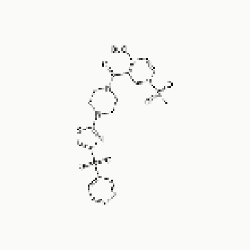 CC(C)COc1ccc(S(C)(=O)=O)cc1C(=O)N1CCN(c2nc(S(=O)(=O)c3ccccc3)cs2)CC1